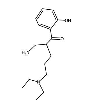 CCN(CC)CCCC(CN)C(=O)c1ccccc1O